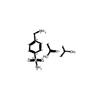 CC(=O)O.CC(C)O.NCc1ccc(S(N)(=O)=O)cc1